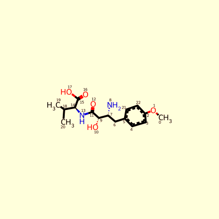 COc1ccc(C[C@@H](N)[C@H](O)C(=O)N[C@H](C(=O)O)C(C)C)cc1